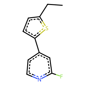 CCc1ccc(-c2ccnc(F)c2)s1